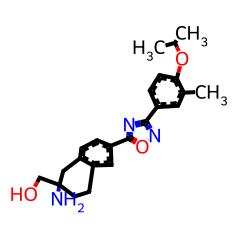 Cc1cc(-c2noc(-c3ccc4c(c3)CCC(N)(CO)C4)n2)ccc1OC(C)C